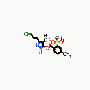 Cc1c(CCCCl)n[nH]c1OC(=O)c1ccc(C(F)(F)F)cc1S(C)(=O)=O